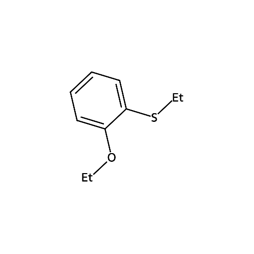 CCOc1ccccc1SCC